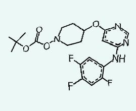 CC(C)(C)OC(=O)ON1CCC(Oc2cc(Nc3cc(F)c(F)cc3F)ncn2)CC1